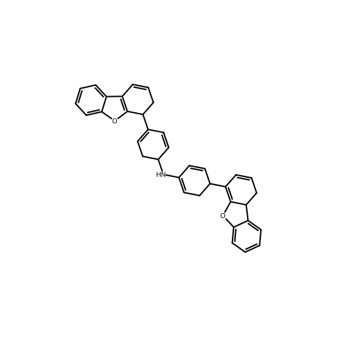 C1=CC(C2C=CC(NC3C=CC(C4CC=Cc5c4oc4ccccc54)=CC3)=CC2)=C2Oc3ccccc3C2C1